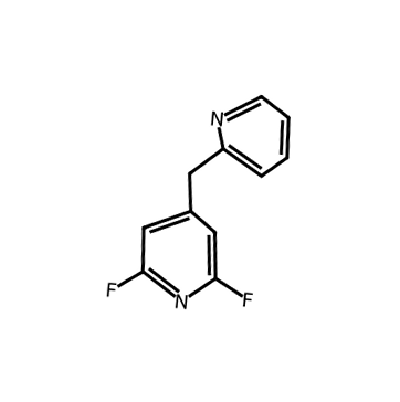 Fc1cc(Cc2ccccn2)cc(F)n1